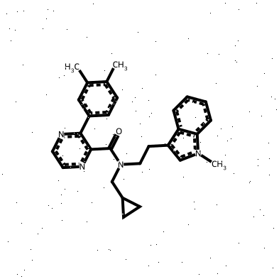 Cc1ccc(-c2nccnc2C(=O)N(CCc2cn(C)c3ccccc23)CC2CC2)cc1C